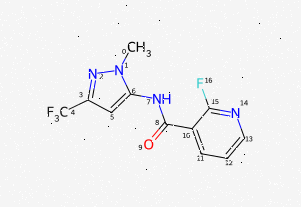 Cn1nc(C(F)(F)F)cc1NC(=O)c1cccnc1F